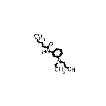 CCCCC(=O)Nc1cccc(N(CC)CCO)c1